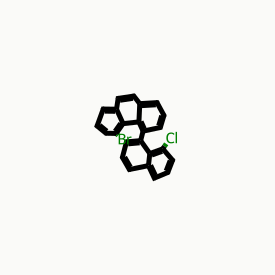 Clc1cccc2cccc(-c3cccc4ccc5cccc(Br)c5c34)c12